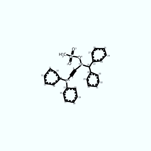 CS(=O)(=O)OP(C#CP(c1ccccc1)c1ccccc1)C(c1ccccc1)c1ccccc1